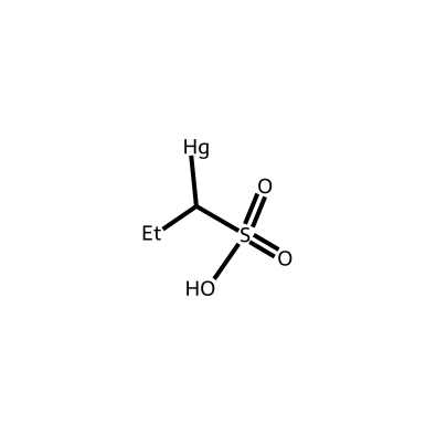 CC[CH]([Hg])S(=O)(=O)O